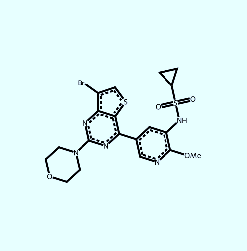 COc1ncc(-c2nc(N3CCOCC3)nc3c(Br)csc23)cc1NS(=O)(=O)C1CC1